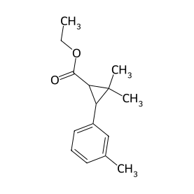 CCOC(=O)C1C(c2cccc(C)c2)C1(C)C